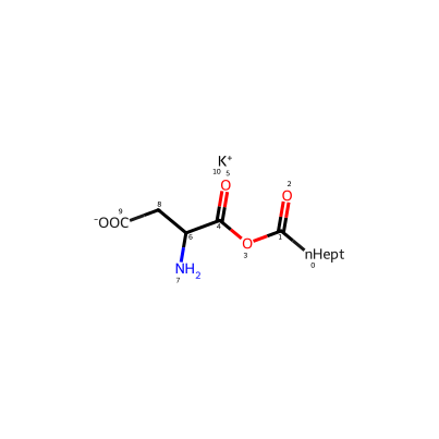 CCCCCCCC(=O)OC(=O)C(N)CC(=O)[O-].[K+]